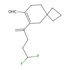 C=C(CCC(F)F)C1=C(C=O)CCC2(CCC2)C1